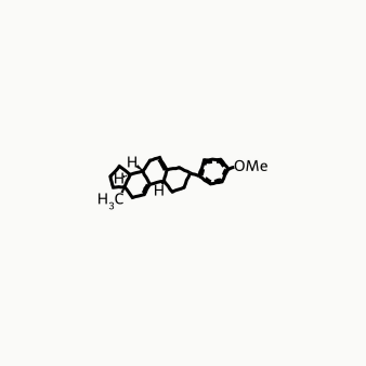 COc1ccc(C2CC[C@H]3C(=CC[C@@H]4C3=CC[C@]3(C)CCC[C@@H]43)C2)cc1